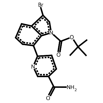 CC(C)(C)OC(=O)n1cc(Br)c2cccc(-c3ccc(C(N)=O)cn3)c21